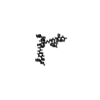 Cl.Cl.Cl.N=C(N)Nc1ccc(CCCC(=O)N[C@@H](CO)C(=O)NCCCCN(CCCNC(=O)[C@@H]2CCCN2)C(=O)[C@@H]2CCCN2)cc1